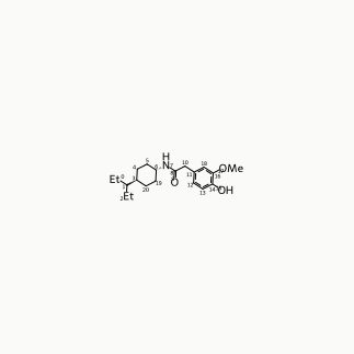 CCC(CC)[C@H]1CC[C@H](NC(=O)Cc2ccc(O)c(OC)c2)CC1